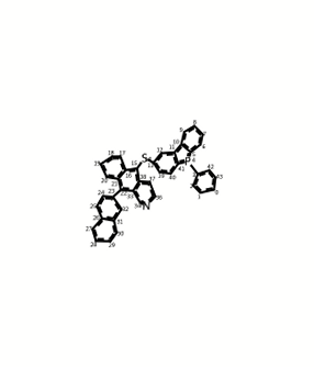 c1ccc(-p2c3ccccc3c3cc(Sc4c5ccccc5c(-c5ccc6ccccc6c5)c5cnccc45)ccc32)cc1